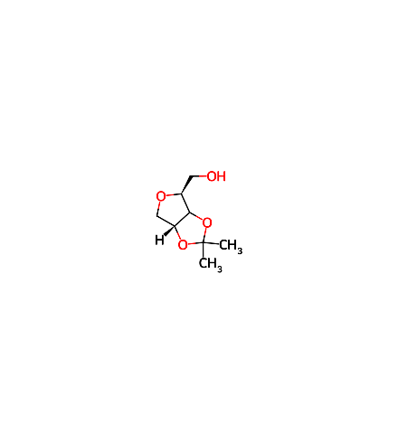 CC1(C)OC2[C@H](CO)OC[C@H]2O1